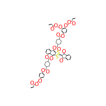 C=CC(=O)OCOc1ccc(OC(=O)C2CCC(C(=O)Oc3c4c(c(OC(=O)C5CCC(C(=O)Oc6ccc(OCOC(=O)C=C)c(OCOC(=O)C=C)c6)CC5)c5ccccc35)SC(=C3C(=O)c5ccccc5C3=O)S4)CC2)cc1